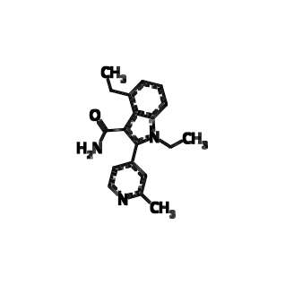 CCc1cccc2c1c(C(N)=O)c(-c1ccnc(C)c1)n2CC